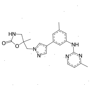 Cc1cc(Nc2nccc(C)n2)cc(-c2cnn(CC3(C)CNC(=O)O3)c2)c1